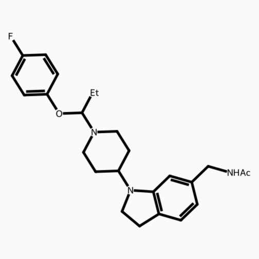 CCC(Oc1ccc(F)cc1)N1CCC(N2CCc3ccc(CNC(C)=O)cc32)CC1